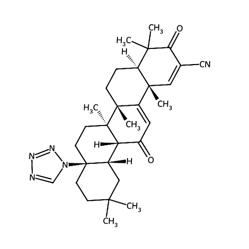 CC1(C)CC[C@]2(n3cnnn3)CC[C@]3(C)[C@H](C(=O)C=C4[C@@]5(C)C=C(C#N)C(=O)C(C)(C)[C@@H]5CC[C@]43C)[C@@H]2C1